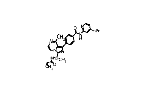 C=CC(=O)N[C@@H](C)c1nc(-c2ccc(C(=O)Nc3cc(CCC)ccn3)cc2)c2c(C)nccn12